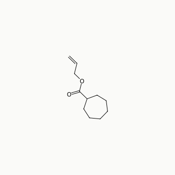 C=CCOC(=O)C1CCCCCC1